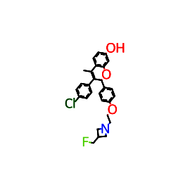 CC1=C(c2ccc(Cl)cc2)C(c2ccc(OCCN3CC(CF)C3)cc2)Oc2cc(O)ccc21